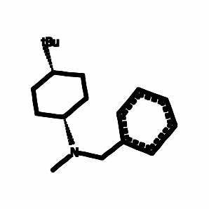 CN(Cc1ccccc1)[C@H]1CC[C@@H](C(C)(C)C)CC1